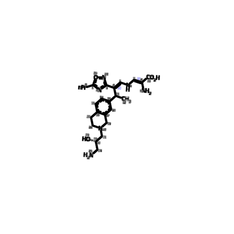 CCCc1nc(/C(=C/N/C=C(\N)C(=O)O)C(C)c2ccc3c(c2)CN(C[C@@H](O)CN)CC3)no1